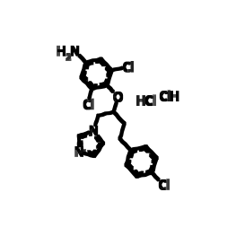 Cl.Cl.Nc1cc(Cl)c(OC(CCc2ccc(Cl)cc2)Cn2ccnc2)c(Cl)c1